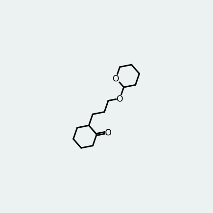 O=C1CCCCC1CCCOC1CCCCO1